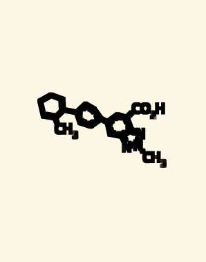 CC1=CCCC=C1c1ccc(-c2cc(C(=O)O)c3nn(C)nc3c2)cc1